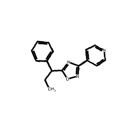 CCC(c1ccccc1)c1nc(-c2ccncc2)no1